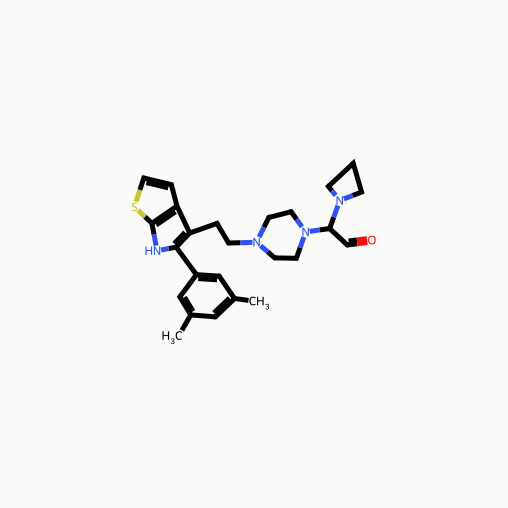 Cc1cc(C)cc(-c2[nH]c3sccc3c2CCN2CCN(C(C=O)N3CCC3)CC2)c1